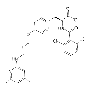 Cc1cc(C)nc(NCCCOc2ccc(C[C@H](NC(=O)c3c(Cl)cccc3Cl)C(=O)O)cc2)c1